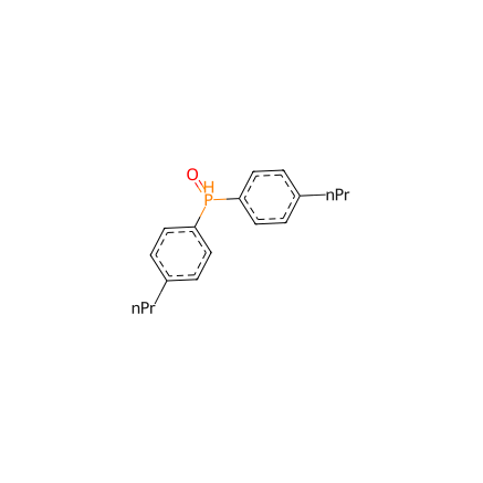 CCCc1ccc([PH](=O)c2ccc(CCC)cc2)cc1